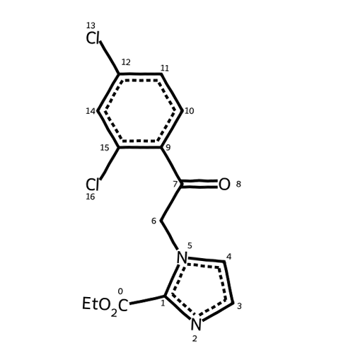 CCOC(=O)c1nccn1CC(=O)c1ccc(Cl)cc1Cl